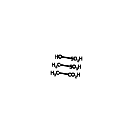 CC(=O)O.CS(=O)(=O)O.O=S(=O)(O)O